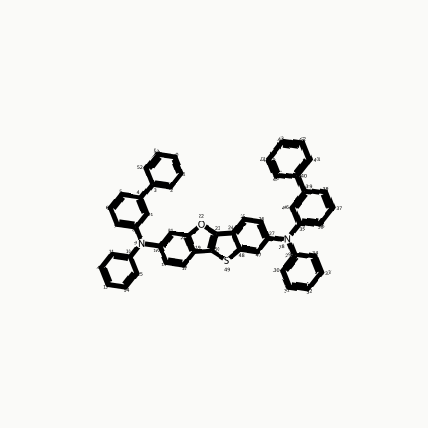 c1ccc(-c2cccc(N(c3ccccc3)c3ccc4c(c3)oc3c5ccc(N(c6ccccc6)c6cccc(-c7ccccc7)c6)cc5sc43)c2)cc1